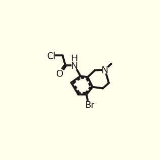 CN1CCc2c(Br)ccc(NC(=O)CCl)c2C1